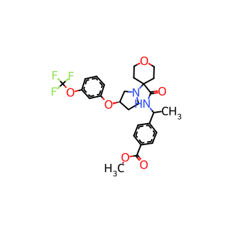 COC(=O)c1ccc(C(C)NC(=O)C2(N3CC[C@@H](Oc4cccc(OC(F)(F)F)c4)C3)CCOCC2)cc1